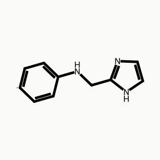 [c]1ccc(NCc2ncc[nH]2)cc1